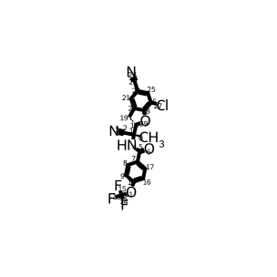 C[C@](C#N)(NC(=O)c1ccc(OC(F)(F)F)cc1)[C@@H]1Cc2cc(C#N)cc(Cl)c2O1